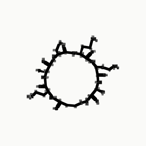 CC[C@@H]1NC(=O)[C@H](CCN)NC(=O)[C@H](CCN)NC(=O)[C@H](CC(C)C)NC(=O)[C@@H](F)NC(=O)[C@H](CCN)NC(=O)CCCNC1=O